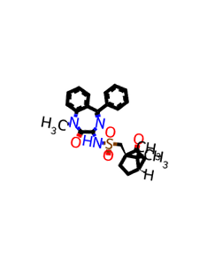 CN1C(=O)C(NS(=O)(=O)C[C@@]23CC[C@H](CC2=O)C3(C)C)N=C(c2ccccc2)c2ccccc21